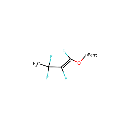 CCCCCOC(F)=C(F)C(F)(F)C(F)(F)F